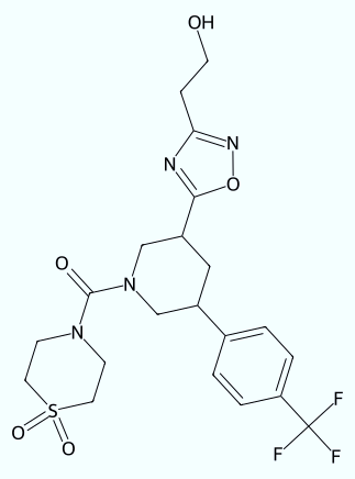 O=C(N1CCS(=O)(=O)CC1)N1CC(c2ccc(C(F)(F)F)cc2)CC(c2nc(CCO)no2)C1